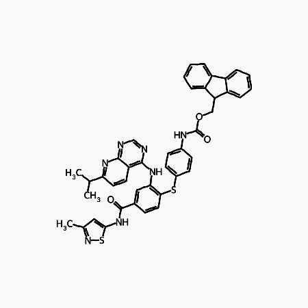 Cc1cc(NC(=O)c2ccc(Sc3ccc(NC(=O)OCC4c5ccccc5-c5ccccc54)cc3)c(Nc3ncnc4nc(C(C)C)ccc34)c2)sn1